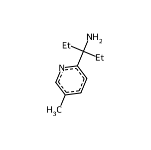 CCC(N)(CC)c1ccc(C)cn1